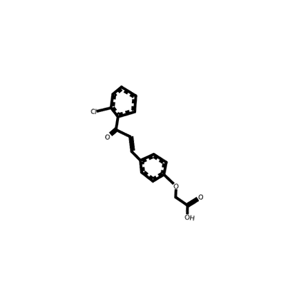 O=C(O)COc1ccc(/C=C/C(=O)c2ccccc2Cl)cc1